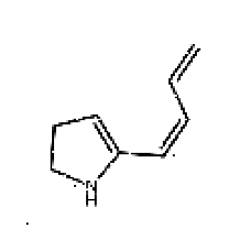 C=C/C=C\C1=CCCN1